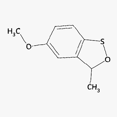 COc1ccc2c(c1)C(C)OS2